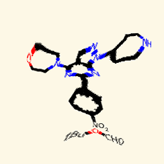 CC(C)(C)OC=O.O=[N+]([O-])c1ccc(-c2nc(N3CCOCC3)c3cnn(C4CCNCC4)c3n2)cc1